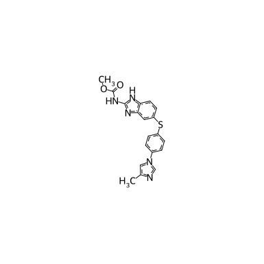 COC(=O)Nc1nc2cc(Sc3ccc(-n4cnc(C)c4)cc3)ccc2[nH]1